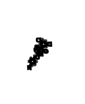 N#Cc1ccc(CO[C@H]2C[C@H]3C(=O)N(c4cc(Cl)cc(Cl)c4)C(=O)N3C2)cc1